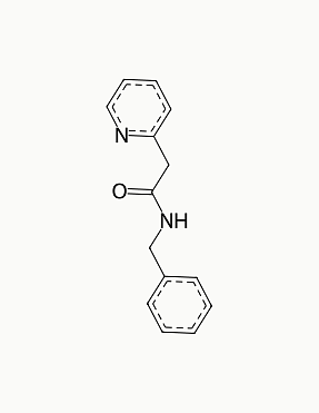 O=C(Cc1ccccn1)NCc1ccccc1